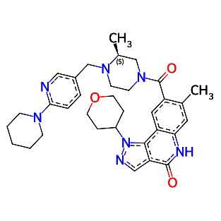 Cc1cc2[nH]c(=O)c3cnn(C4CCOCC4)c3c2cc1C(=O)N1CCN(Cc2ccc(N3CCCCC3)nc2)[C@@H](C)C1